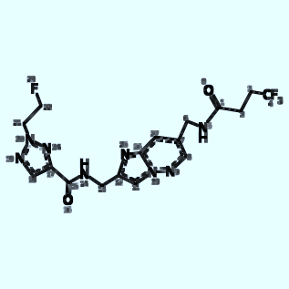 O=C(CCC(F)(F)F)NCc1cnn2cc(CNC(=O)c3cnn(CCF)n3)nc2c1